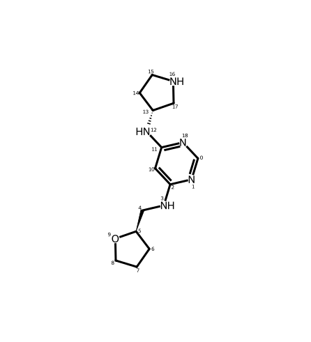 c1nc(NC[C@H]2CCCO2)cc(N[C@@H]2CCNC2)n1